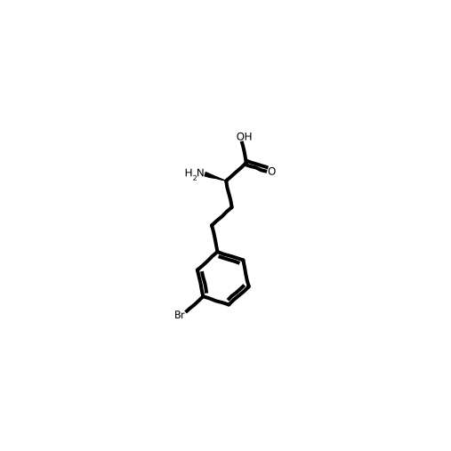 N[C@H](CCc1cccc(Br)c1)C(=O)O